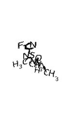 CC#CCNC(=O)N(C)c1sc(-c2cncc(F)c2)nc1C